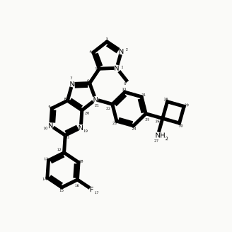 Cn1nccc1-c1nc2cnc(-c3cccc(F)c3)nc2n1-c1ccc(C2(N)CCC2)cc1